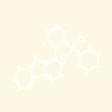 BC(B)(c1cccnc1-c1cccc2c1oc1ccccc12)C1CCCCC1